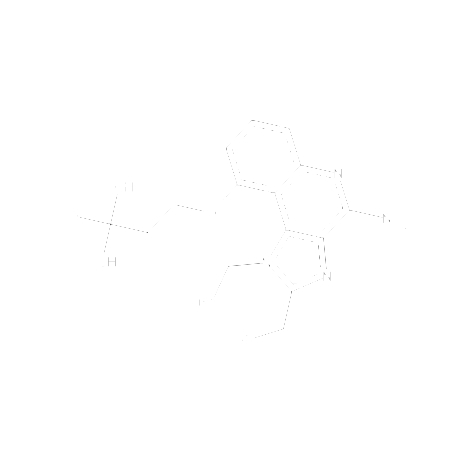 CC(C)Cn1c(CO)nc2c(N)nc3cccc(OCCC(C)(C)O)c3c21